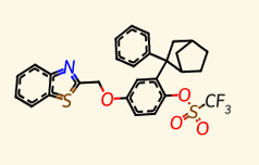 O=S(=O)(Oc1ccc(OCc2nc3ccccc3s2)cc1C1(c2ccccc2)CC2CCC1C2)C(F)(F)F